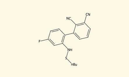 CCCCSNc1cc(F)ccc1-c1cccc(C#N)c1C#N